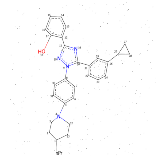 CCCC1CCN(c2ccc(-n3nc(-c4ccccc4O)nc3-c3cccc(C4CC4)c3)cc2)CC1